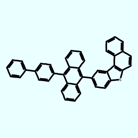 c1ccc(-c2ccc(-c3c4ccccc4c(-c4ccc5sc6ccc7ccccc7c6c5c4)c4ccccc34)cc2)cc1